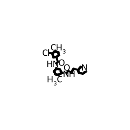 Cc1ccc(C(=O)Nc2ccc(C)c(NC(=O)/C=C/c3cccnc3)c2)cc1Cl